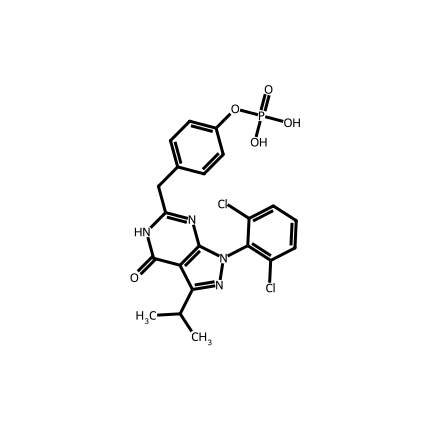 CC(C)c1nn(-c2c(Cl)cccc2Cl)c2nc(Cc3ccc(OP(=O)(O)O)cc3)[nH]c(=O)c12